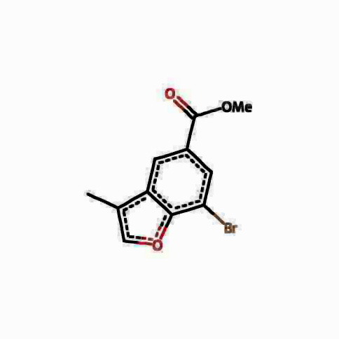 COC(=O)c1cc(Br)c2occ(C)c2c1